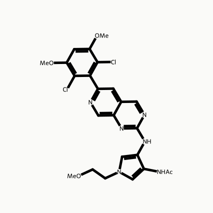 COCCn1cc(NC(C)=O)c(Nc2ncc3cc(-c4c(Cl)c(OC)cc(OC)c4Cl)ncc3n2)c1